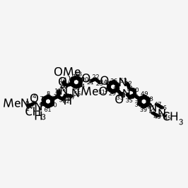 CN[C@@H](C)C(=O)Nc1ccc(C2=CN3C(=O)c4cc(OC)c(OCCCOc5cc6c(cc5OC)C(=O)N5C=C(c7ccc(N8CCN(C)CC8)cc7)CC5C=N6)cc4N=C[C@@H]3C2)cc1